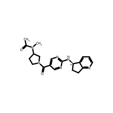 CC(=O)N(C)C1CCN(C(=O)c2cnc(N[C@@H]3CCc4ncccc43)nc2)C1